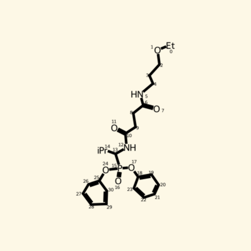 CCOCCCNC(=O)CCC(=O)NC(C(C)C)P(=O)(Oc1ccccc1)Oc1ccccc1